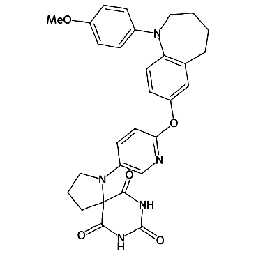 COc1ccc(N2CCCCc3cc(Oc4ccc(N5CCCC56C(=O)NC(=O)NC6=O)cn4)ccc32)cc1